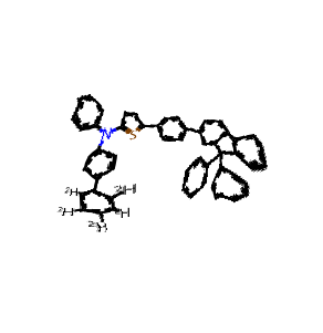 [2H]c1c([2H])c([2H])c(-c2ccc(N(c3ccccc3)c3ccc(-c4ccc(-c5ccc6c(c5)C(c5ccccc5)(c5ccccc5)c5ccccc5-6)cc4)s3)cc2)c([2H])c1[2H]